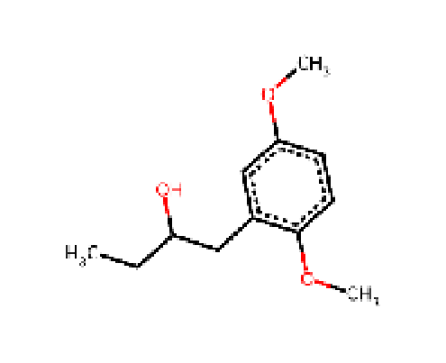 CCC(O)Cc1cc(OC)ccc1OC